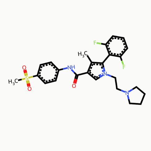 Cc1c(C(=O)Nc2ccc(S(C)(=O)=O)cc2)cn(CCN2CCCC2)c1-c1c(F)cccc1F